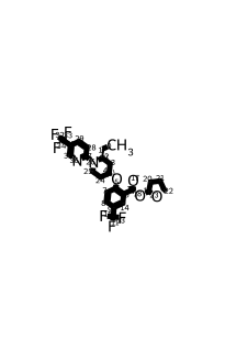 CC[C@H]1C[C@@H](Oc2ccc(C(F)(F)F)cc2C(=O)OC2CCCO2)CCN1c1ccc(C(F)(F)F)cn1